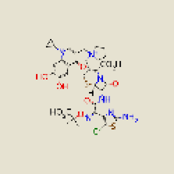 CC(C)(O/N=C(\C(=O)N[C@@H]1C(=O)N2C(C(=O)O)=C(C[N+]3(Cc4cn(C5CC5)c5cc(O)c(O)cc5c4=O)CCCC3)CS[C@H]12)c1nc(N)sc1Cl)C(=O)O